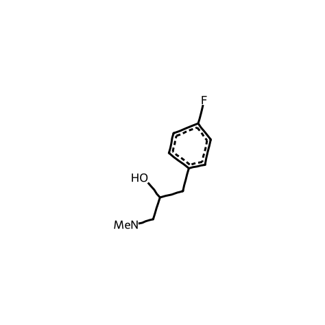 CNCC(O)Cc1ccc(F)cc1